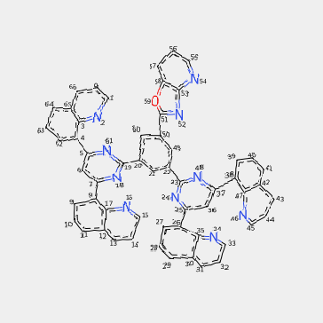 c1cnc2c(-c3cc(-c4cccc5cccnc45)nc(-c4cc(-c5nc(-c6cccc7cccnc67)cc(-c6cccc7cccnc67)n5)cc(-c5nc6ncccc6o5)c4)n3)cccc2c1